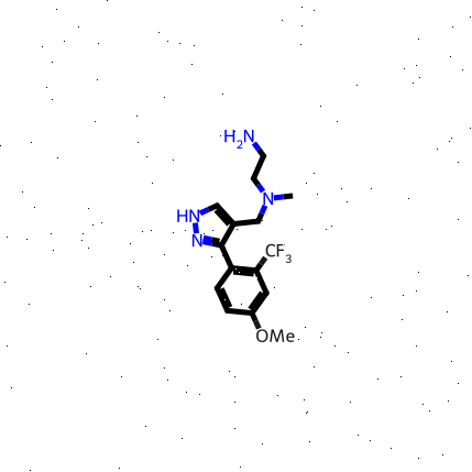 COc1ccc(-c2n[nH]cc2CN(C)CCN)c(C(F)(F)F)c1